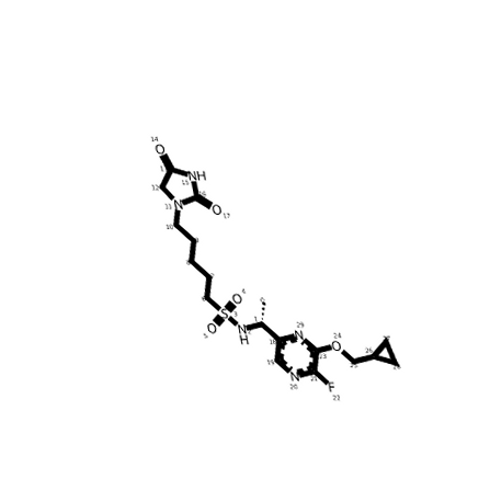 C[C@@H](NS(=O)(=O)CCCCCN1CC(=O)NC1=O)c1cnc(F)c(OCC2CC2)n1